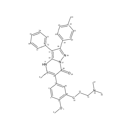 COc1ccc(-c2c(C)[nH]c3c(-c4ccccc4)c(-c4ccc(C)cc4)nn3c2=O)cc1OCCN(C)C